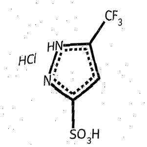 Cl.O=S(=O)(O)c1cc(C(F)(F)F)[nH]n1